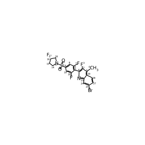 Cc1c(F)c(-c2c(F)cc(S(=O)(=O)N3CC[C@H](F)C3)cc2F)nc2cc(Br)ccc12